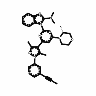 CC#Cc1cncc(-n2nc(C)c(-c3cc(N4CCOC[C@H]4C)nc(-n4c(N(C)C)nc5ccccc54)n3)c2C)c1